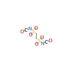 O=C=NS(=O)(=O)CCS(=O)(=O)N=C=O